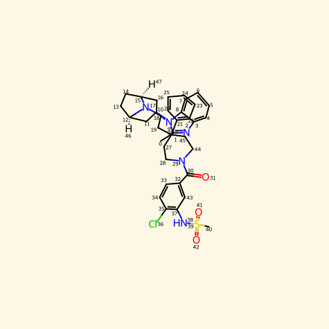 Cc1nc2ccccc2n1[C@H]1C[C@H]2CC[C@@H](C1)N2CCC1(c2ccccc2)CCN(C(=O)c2ccc(Cl)c(NS(C)(=O)=O)c2)CC1